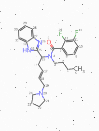 CCCCN(C(=O)c1cccc(F)c1F)C(CC=CCN1CCCC1)c1nc2ccccc2[nH]1